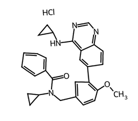 COc1ccc(CN(C(=O)c2ccccc2)C2CC2)cc1-c1ccc2ncnc(NC3CC3)c2c1.Cl